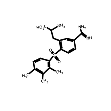 Cc1ccc(S(=O)(=O)c2ccc(C(=N)N)cc2CC(N)C(=O)O)c(C)c1C